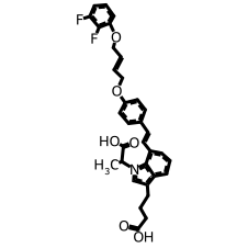 CC(C(=O)O)n1cc(CCCC(=O)O)c2cccc(/C=C/c3ccc(OC/C=C/COc4cccc(F)c4F)cc3)c21